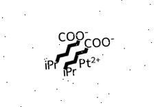 CC(C)CCCCC(=O)[O-].CC(C)CCCCC(=O)[O-].[Pt+2]